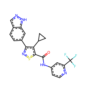 O=C(Nc1ccnc(C(F)(F)F)c1)c1snc(-c2ccc3cn[nH]c3c2)c1C1CC1